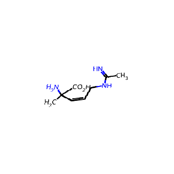 CC(=N)NC/C=C\C(C)(N)C(=O)O